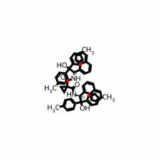 Cc1ccc(C(O)(c2ccc(C)cc2)[C@@H](NC(=O)C2(C(=O)N[C@@H](c3cccc4ccccc34)C(O)(c3ccc(C)cc3)c3ccc(C)cc3)CC2)c2cccc3ccccc23)cc1